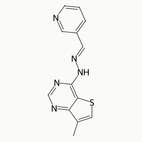 Cc1csc2c(NN=Cc3cccnc3)ncnc12